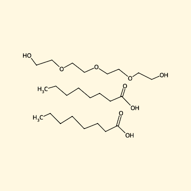 CCCCCCCC(=O)O.CCCCCCCC(=O)O.OCCOCCOCCOCCO